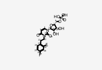 O=c1ccn([C@@H]2O[C@H](COP(=O)(O)O)[C@H](O)[C@@H]2O)c(=O)n1CCc1ccc(F)cc1F